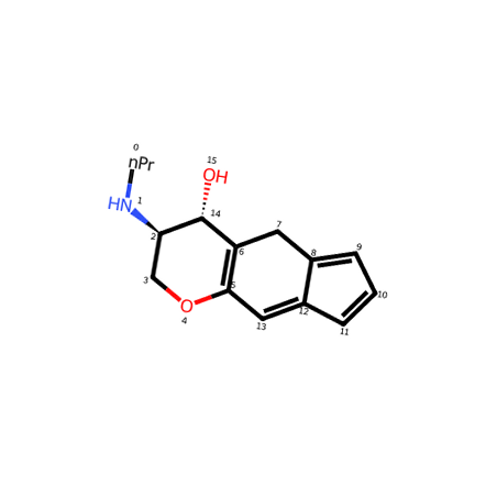 CCCN[C@@H]1COC2=C(CC3=CC=CC3=C2)[C@H]1O